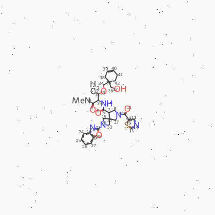 CNC(=O)C(NC(=O)C1CN(C(=O)c2cncs2)CC12CN(c1nc3ccccc3o1)C2)[C@@H](C)OCC1(CO)CC=CCC1